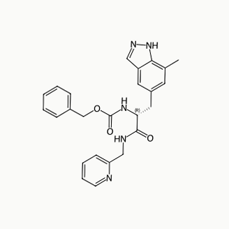 Cc1cc(C[C@@H](NC(=O)OCc2ccccc2)C(=O)NCc2ccccn2)cc2cn[nH]c12